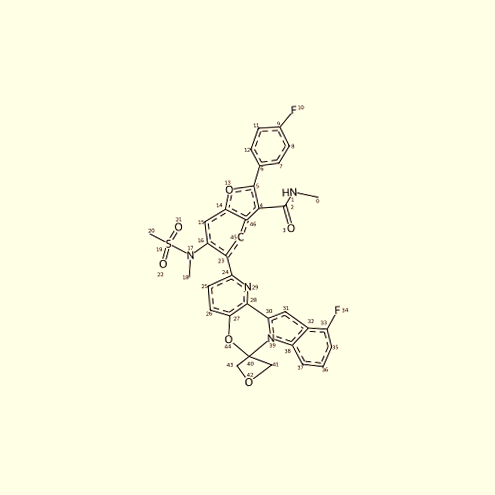 CNC(=O)c1c(-c2ccc(F)cc2)oc2cc(N(C)S(C)(=O)=O)c(-c3ccc4c(n3)-c3cc5c(F)cccc5n3C3(COC3)O4)cc12